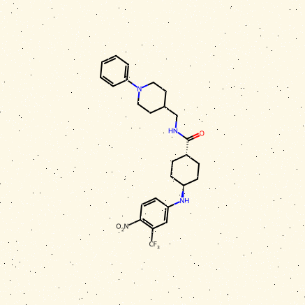 O=C(NCC1CCN(c2ccccc2)CC1)[C@H]1CC[C@H](Nc2ccc([N+](=O)[O-])c(C(F)(F)F)c2)CC1